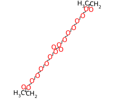 C=C(C)C(=O)OCCOCCOCCOCCOCCOCCOC(=O)C(=O)OCCOCCOCCOCCOCCOCCOC(=O)C(=C)C